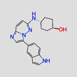 O[C@H]1CC[C@H](Nc2ccc3ncc(-c4ccc5[nH]ccc5c4)n3n2)CC1